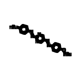 CCCCOc1ccc(N=Nc2cnc(N=Nc3ccc(CCCC)cc3)nc2)cc1